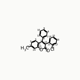 Cc1ccc2c(-c3ccccc3)c(-c3ccccc3Cl)c(=O)oc2c1